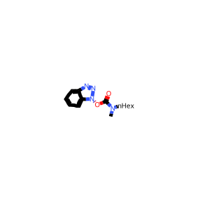 CCCCCCN(C)C(=O)On1nnc2ccccc21